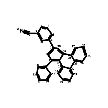 N#Cc1cccc(-c2cc(-c3ccccc3)c3c4ccccc4c4ccccc4c3c2)c1